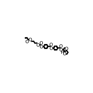 C=CC(=O)OCCCCOC(=O)Oc1ccc(C(=O)Oc2ccc(C(=O)O[C@@H]3COC4CCO[C@@H]43)cc2)cc1